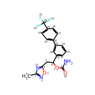 Cc1noc(CC(OC(N)=O)c2cccc(-c3ccc(C(F)(F)F)cc3)c2)n1